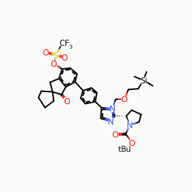 CC(C)(C)OC(=O)N1CCC[C@H]1c1ncc(-c2ccc(-c3ccc(OS(=O)(=O)C(F)(F)F)c4c3C(=O)C3(CCCC3)C4)cc2)n1COCC[Si](C)(C)C